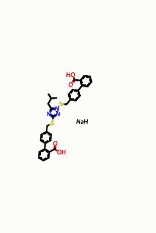 CC(C)Cc1nc(SCc2ccc(-c3ccccc3C(=O)O)cc2)nn1SCc1ccc(-c2ccccc2C(=O)O)cc1.[NaH]